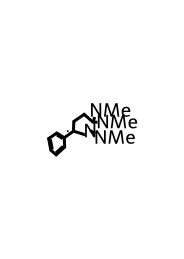 CNN1C[C](c2ccccc2)CCC1(NC)NC